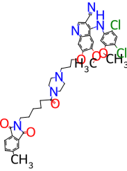 COc1cc(Nc2c(C#N)cnc3cc(OCCCN4CCN(C(=O)CCCCCN5C(=O)c6ccc(C)cc6C5=O)CC4)c(OC)cc23)c(Cl)cc1Cl